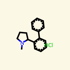 CN1CCCC1c1ccccc1-c1ccccc1.Cl